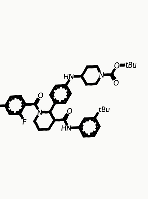 Cc1ccc(C(=O)N2CCCC(C(=O)Nc3cccc(C(C)(C)C)c3)C2c2ccc(NC3CCN(C(=O)OC(C)(C)C)CC3)cc2)c(F)c1